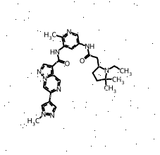 CCN1C(CC(=O)Nc2cnc(C)c(NC(=O)c3cnn4cc(-c5cnn(C)c5)ncc34)c2)CCC1(C)C